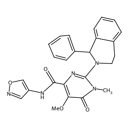 COc1c(C(=O)Nc2cnoc2)nc(N2CCc3ccccc3C2c2ccccc2)n(C)c1=O